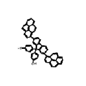 Oc1ccc(C2(c3ccc(O)cc3)c3cc(-c4ccc5ccc6cccc7ccc4c5c67)ccc3-c3ccc(-c4ccc5ccc6cccc7ccc4c5c67)cc32)cc1